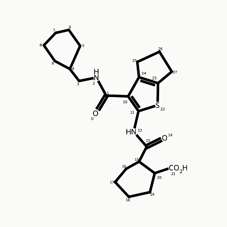 O=C(NCC1CCCCC1)c1c(NC(=O)C2CCCCC2C(=O)O)sc2c1CCC2